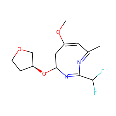 CO/C1=C/C(C)=N/C(C(F)F)=N\C(O[C@H]2CCOC2)C1